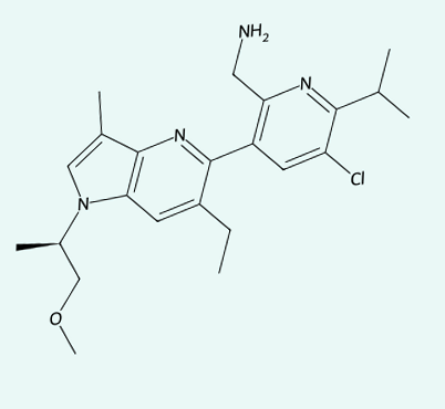 CCc1cc2c(nc1-c1cc(Cl)c(C(C)C)nc1CN)c(C)cn2[C@H](C)COC